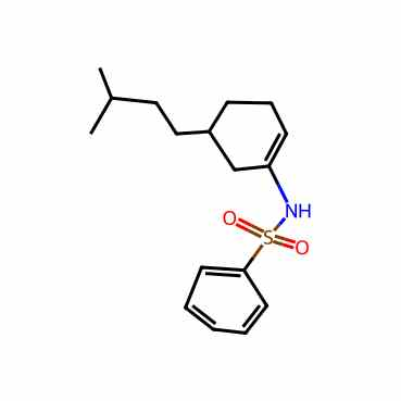 CC(C)CCC1CCC=C(NS(=O)(=O)c2ccccc2)C1